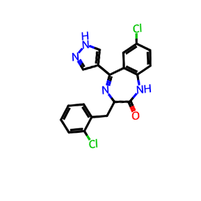 O=C1Nc2ccc(Cl)cc2C(c2cn[nH]c2)=NC1Cc1ccccc1Cl